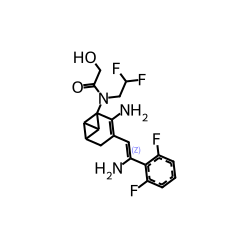 NC1=C(/C=C(\N)c2c(F)cccc2F)CC2C3C2C13N(CC(F)F)C(=O)CO